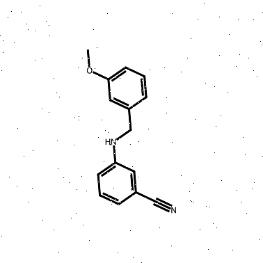 COc1cccc(CNc2cccc(C#N)c2)c1